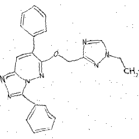 [CH2]Cn1cnc(COc2nn3c(-c4ccccc4)nnc3cc2-c2ccccc2)n1